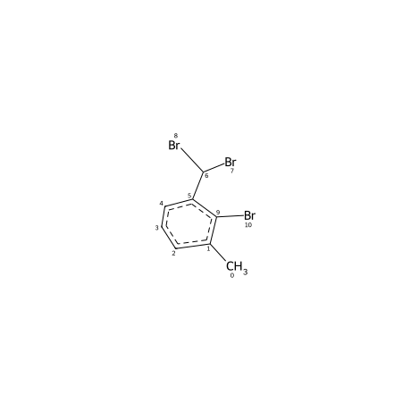 Cc1cccc(C(Br)Br)c1Br